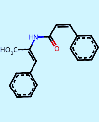 O=C(/C=C\c1ccccc1)NC(=Cc1ccccc1)C(=O)O